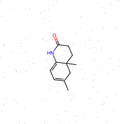 CC1=CC=C2NC(=O)CCC2(C)C1